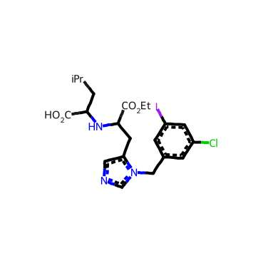 CCOC(=O)C(Cc1cncn1Cc1cc(Cl)cc(I)c1)NC(CC(C)C)C(=O)O